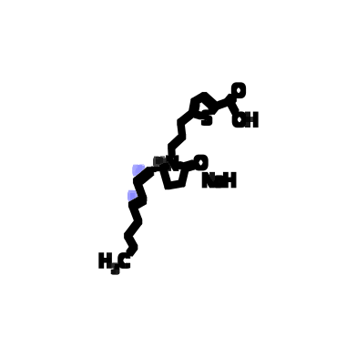 CCCC/C=C/C=C\[C@H]1CCC(=O)N1CCCc1ccc(C(=O)O)s1.[NaH]